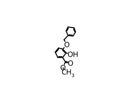 COC(=O)c1cccc(OCc2ccccc2)c1O